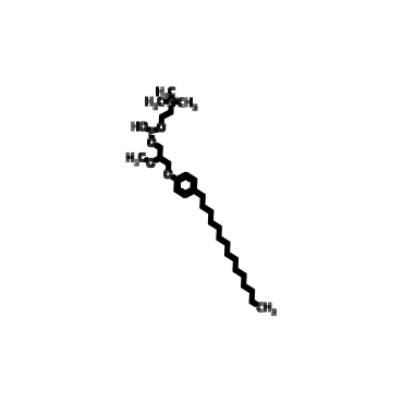 CCCCCCCCCCCCCCCc1ccc(OCC(COP(O)OCC[N+](C)(C)C)OC)cc1